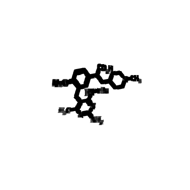 CCCCNc1nc(N)nc(C)c1Cc1cc(C(CC2CCN(C)CC2)C(=O)O)ccc1OC